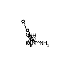 NCCCCC(N)C(=O)NC(Cc1ccccc1)C(=O)ONC(=O)Cc1ccc(CCCCc2ccccc2)cc1